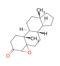 C[C@@]12CCC[C@H]1[C@@H]1CCC34OC3C(=O)CC[C@]4(C)[C@H]1CC2